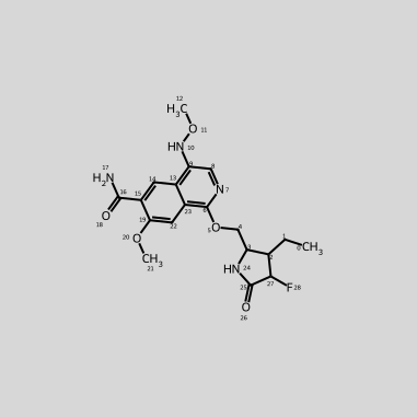 CCC1C(COc2ncc(NOC)c3cc(C(N)=O)c(OC)cc23)NC(=O)C1F